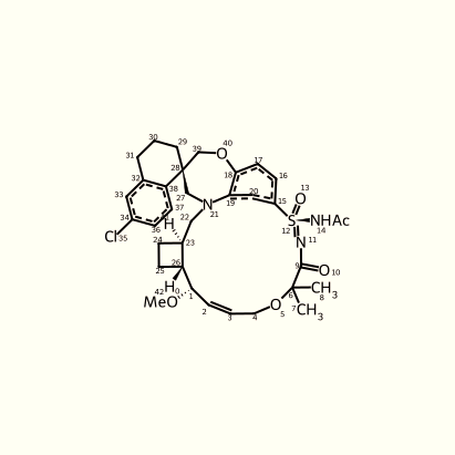 CO[C@H]1C=CCOC(C)(C)C(=O)N=[S@](=O)(NC(C)=O)c2ccc3c(c2)N(C[C@@H]2CC[C@H]21)C[C@@]1(CCCc2cc(Cl)ccc21)CO3